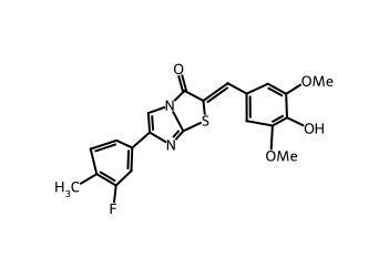 COc1cc(/C=c2\sc3nc(-c4ccc(C)c(F)c4)cn3c2=O)cc(OC)c1O